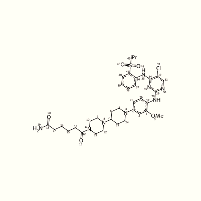 COc1cc(N2CCC(N3CCN(C(=O)CCCCC(N)=O)CC3)CC2)ccc1Nc1ncc(Cl)c(Nc2ccccc2S(=O)(=O)C(C)C)n1